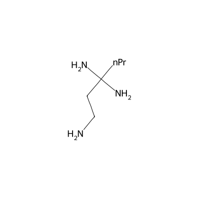 CCCC(N)(N)CCN